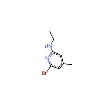 CCNc1cc(C)cc(Br)n1